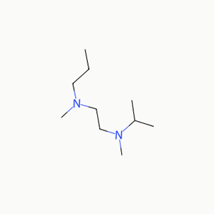 CCCN(C)CCN(C)C(C)C